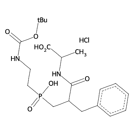 CC(NC(=O)C(Cc1ccccc1)CP(=O)(O)CCNC(=O)OC(C)(C)C)C(=O)O.Cl